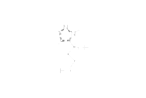 Cn1nccc1C(O)CCO